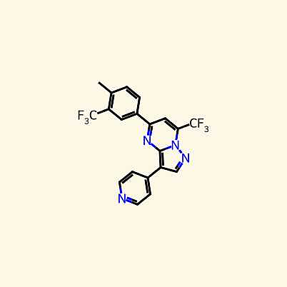 Cc1ccc(-c2cc(C(F)(F)F)n3ncc(-c4ccncc4)c3n2)cc1C(F)(F)F